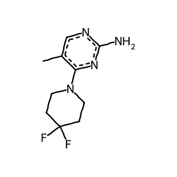 Cc1cnc(N)nc1N1CCC(F)(F)CC1